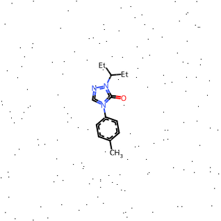 CCC(CC)n1ncn(-c2ccc(C)cc2)c1=O